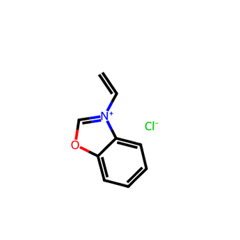 C=C[n+]1coc2ccccc21.[Cl-]